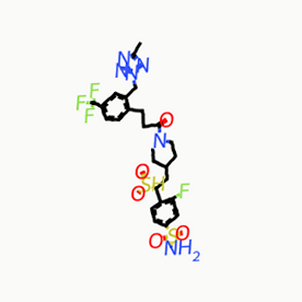 Cc1nnn(Cc2cc(C(F)(F)F)ccc2CCC(=O)N2CCC(CC(c3ccc(S(N)(=O)=O)cc3F)[SH](=O)=O)CC2)n1